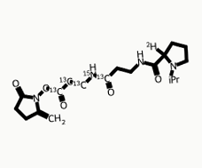 [2H]C1(C(=O)NCC[13C](=O)[15NH][13CH2][13CH2][13C](=O)ON2C(=C)CCC2=O)CCCN1[13CH](C)C